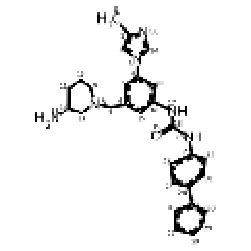 Cc1cn(-c2cc(CN3CCC[C@H](N)C3)cc(NC(=O)Nc3ccc(-c4ccccc4)cc3)c2)cn1